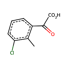 Cc1c(Cl)cccc1C(=O)C(=O)O